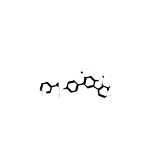 COc1cc2c(cc1-c1ccc(NC(=O)c3cccnc3)cc1)c1ccnc(C)c1n2C